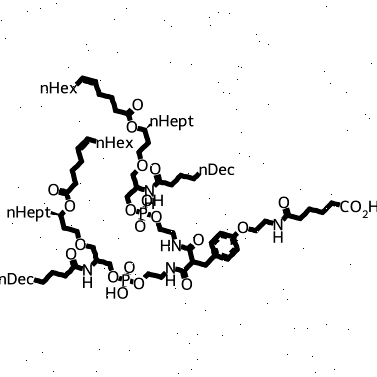 CCCCCC/C=C\CCCC(=O)O[C@H](CCCCCCC)CCOCC(COP(=O)(O)OCCNC(=O)C(Cc1ccc(OCCNC(=O)CCCCC(=O)O)cc1)C(=O)NCCOP(=O)(O)OCC(COCC[C@@H](CCCCCCC)OC(=O)CCC/C=C\CCCCCC)NC(=O)CCCCCCCCCCCCC)NC(=O)CCCCCCCCCCCCC